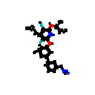 CC[C@@H](Oc1nc(Oc2cc(C)cc(-c3cccc(CN)c3)c2)c(F)c(CC(=O)O)c1F)C(=O)O